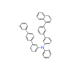 c1ccc(-c2ccc(-c3cccc(N(c4ccccc4)c4cccc(-c5cccc(-c6cccc7ccccc67)c5)c4)c3)cc2)cc1